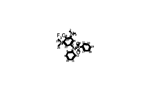 CN(C)c1cc(N(c2ccccc2)S(=O)(=O)c2ccccc2)cc(N(C)C)c1C(F)(F)F